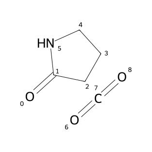 O=C1CCCN1.O=C=O